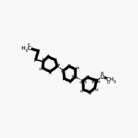 CCC[C@H]1CC[C@H](C2CCC([C@H]3CCC[C@@H](OC)C3)CC2)CC1